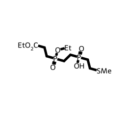 CCOC(=O)CCP(=O)(CCP(=O)(O)CCSC)OCC